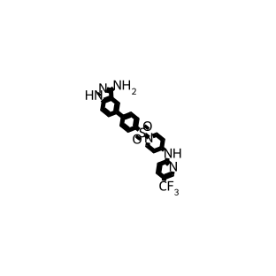 Nc1n[nH]c2ccc(-c3ccc(S(=O)(=O)N4CCC(Nc5ccc(C(F)(F)F)cn5)CC4)cc3)cc12